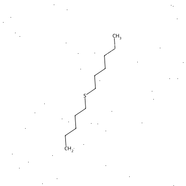 [CH2]CCCCSCCCCCC